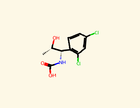 C[C@H](O)[C@@H](NC(=O)O)c1ccc(Cl)cc1Cl